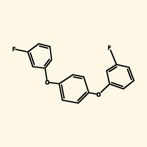 Fc1cccc(Oc2ccc(Oc3cccc(F)c3)cc2)c1